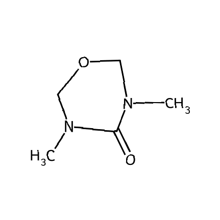 CN1COCN(C)C1=O